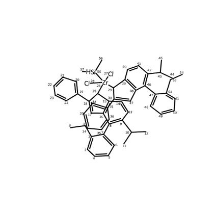 CCc1ccccc1-c1c(C(C)C)ccc2c1C=C(c1ccccc1)[CH]2[Zr]([Cl])([Cl])([CH]1C(c2ccccc2)=Cc2c1ccc(C(C)C)c2-c1ccccc1CC)[SiH](C)C